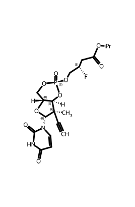 C#C[C@]1(C)[C@@H]2O[P@](=O)(OC[C@@H](F)CC(=O)OC(C)C)OC[C@H]2O[C@H]1n1ccc(=O)[nH]c1=O